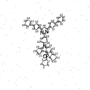 O=P1(c2ccccc2)c2ccccc2-c2ccc3c(c21)c1ccccc1n3-c1ccc(-c2nc(-c3ccc(-c4ccccc4)cc3)cc(-c3ccc(-c4ccccc4)cc3)n2)cc1